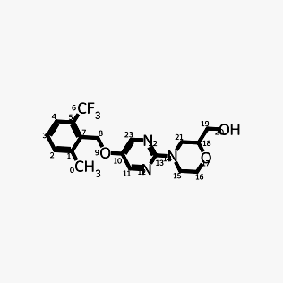 Cc1cccc(C(F)(F)F)c1COc1cnc(N2CCOC(CO)C2)nc1